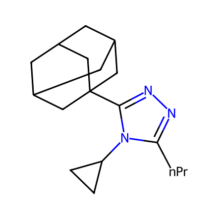 CCCc1nnc(C23CC4CC(CC(C4)C2)C3)n1C1CC1